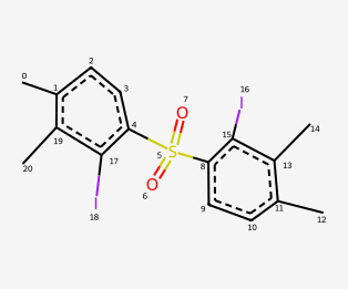 Cc1ccc(S(=O)(=O)c2ccc(C)c(C)c2I)c(I)c1C